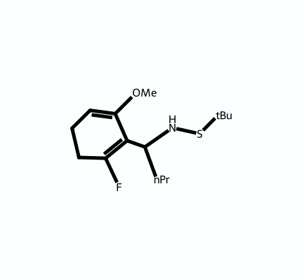 CCCC(NSC(C)(C)C)C1=C(F)CCC=C1OC